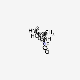 CC(C)CC(NC(=O)/C=C/c1ccc(Cl)cc1F)C(=O)NC(C[C@@H]1CCNC1=O)C(=O)O